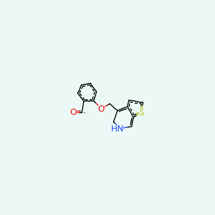 O=[C]c1ccccc1OCC1=c2ccsc2=CNC1